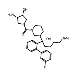 COCCCC[C@@](O)(c1ccccc1-c1cccc(F)c1)C1CCCN(C(=O)N2C[C@@H](N)[C@@H](O)C2)C1